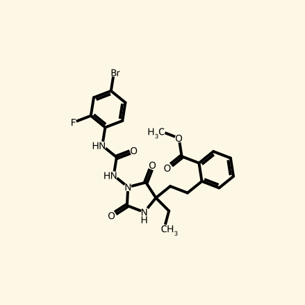 CCC1(CCc2ccccc2C(=O)OC)NC(=O)N(NC(=O)Nc2ccc(Br)cc2F)C1=O